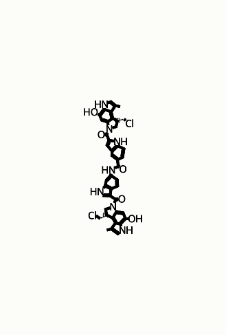 Cc1c[nH]c2c(O)cc3c(c12)[C@H](CCl)CN3C(=O)c1cc2cc(C(=O)Nc3ccc4c(C(=O)N5C[C@@H](CCl)c6c5cc(O)c5[nH]cc(C)c65)c[nH]c4c3)ccc2[nH]1